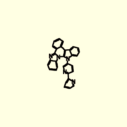 c1ccc(-c2ccc(-n3c4ccccc4c4c5ccccc5c5nc6ccccc6n5c43)cn2)nc1